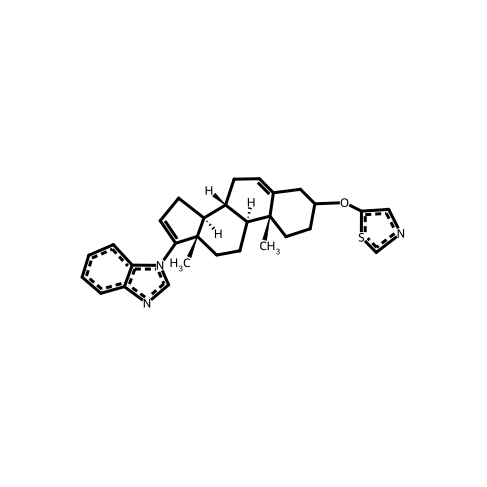 C[C@]12CCC(Oc3cncs3)CC1=CC[C@@H]1[C@@H]2CC[C@]2(C)C(n3cnc4ccccc43)=CC[C@@H]12